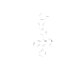 C=Cc1cc2oc3cc(-c4c5ccccc5c(-c5ccccc5)c5ccccc45)ccc3c2cc1/C=C\C